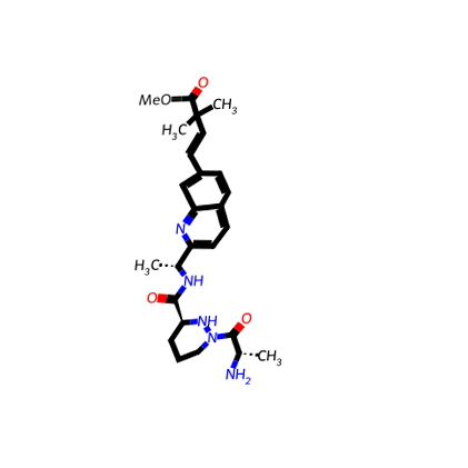 COC(=O)C(C)(C)/C=C/c1ccc2ccc([C@@H](C)NC(=O)[C@@H]3CCCN(C(=O)[C@H](C)N)N3)nc2c1